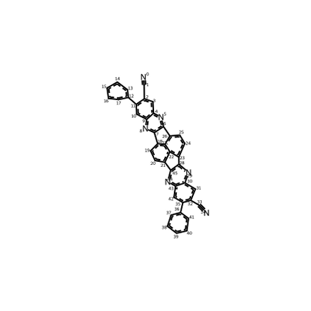 N#Cc1cc2nc3c(nc2cc1-c1ccccc1)-c1ccc2c4c(ccc-3c14)-c1nc3cc(C#N)c(-c4ccccc4)cc3nc1-2